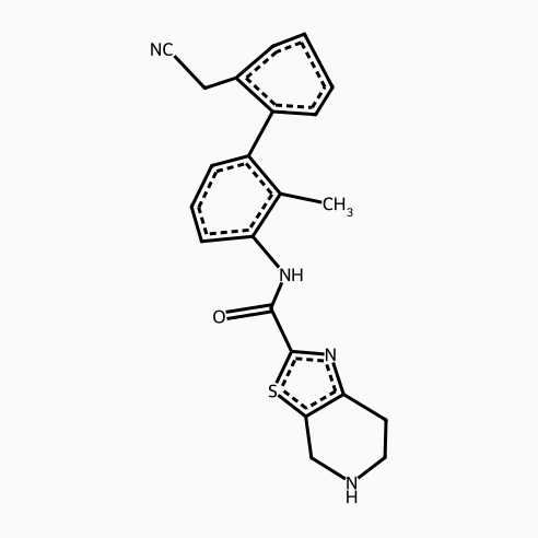 Cc1c(NC(=O)c2nc3c(s2)CNCC3)cccc1-c1ccccc1CC#N